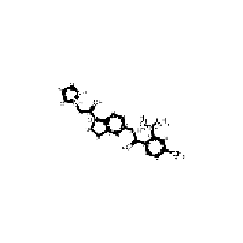 Cc1ccc(C(=O)Nc2ccc3c(c2)CCN3C(=O)Cn2cccn2)c(N(C)C)c1